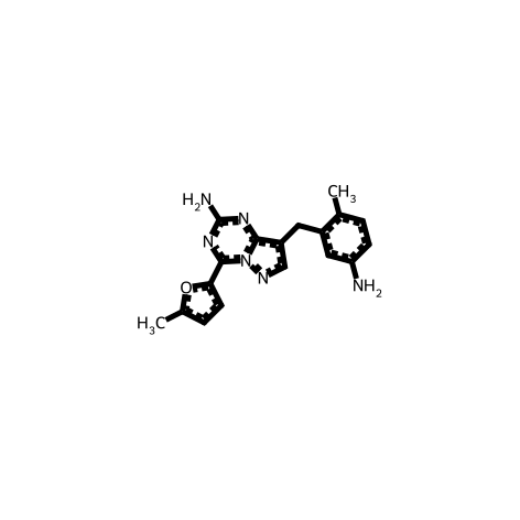 Cc1ccc(-c2nc(N)nc3c(Cc4cc(N)ccc4C)cnn23)o1